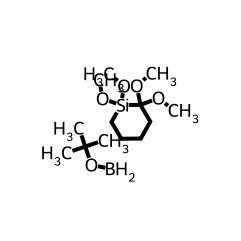 BOC(C)(C)C.COC1(OC)CCCC[Si]1(OC)OC